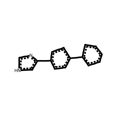 c1ccc(-c2ccc(-c3c[nH]cn3)cc2)cc1